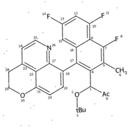 CC(=O)C(OC(C)(C)C)c1c(C)c(F)c2c(F)cc(F)cc2c1-c1ccc2c3c(ccnc13)CCO2